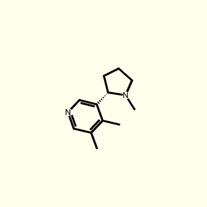 Cc1cncc([C@@H]2CCCN2C)c1C